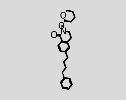 O=C1c2ccc(CCCCc3ccccc3)cc2CCN1OC1CCCCO1